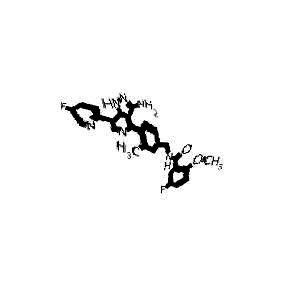 COc1ccc(F)cc1C(=O)NCc1ccc(-c2ncc(-c3ccc(F)cn3)c3[nH]nc(N)c23)c(C)c1